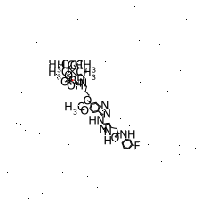 COc1cc2c(Nc3cc(CC(=O)Nc4cccc(F)c4)[nH]n3)ncnc2cc1OCCCN1CCC(C(OP(=O)(O)O)(C(C)(C)C)C(C)(C)C)CC1